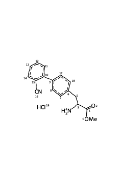 COC(=O)C(N)Cc1ccc(-c2ccccc2C#N)cc1.Cl